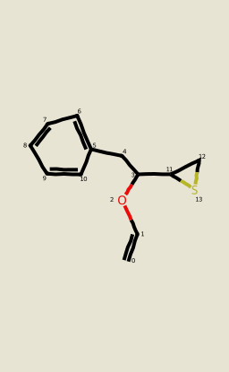 C=COC(Cc1ccccc1)C1CS1